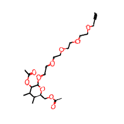 C#CCOCCOCCOCCOCCOC1OC(COC(C)=O)C(C)C(C)C1OC(C)=O